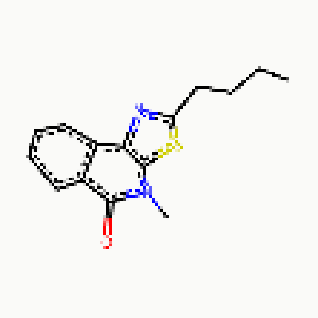 CCCCc1nc2c3ccccc3c(=O)n(C)c2s1